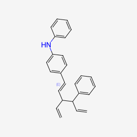 C=CC(/C=C/c1ccc(Nc2ccccc2)cc1)C(C=C)c1ccccc1